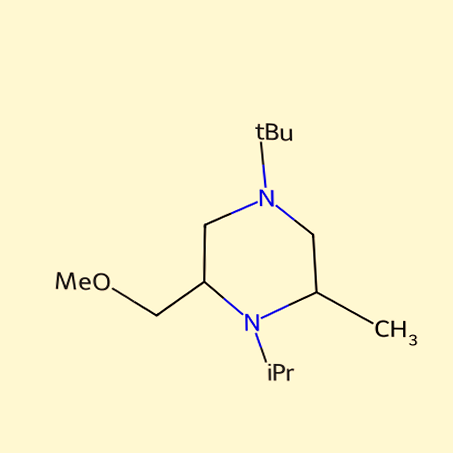 COCC1CN(C(C)(C)C)CC(C)N1C(C)C